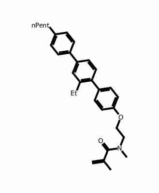 C=C(C)C(=O)N(C)CCOc1ccc(-c2ccc(-c3ccc(CCCCC)cc3)cc2CC)cc1